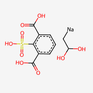 O=C(O)c1cccc(C(=O)O)c1S(=O)(=O)O.OC(O)[CH2][Na]